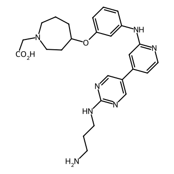 NCCCNc1ncc(-c2ccnc(Nc3cccc(OC4CCCN(CC(=O)O)CC4)c3)c2)cn1